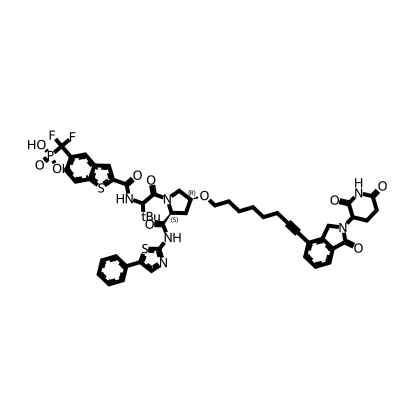 CC(C)(C)C(NC(=O)c1cc2cc(C(F)(F)P(=O)(O)O)ccc2s1)C(=O)N1C[C@H](OCCCCCCC#Cc2cccc3c2CN(C2CCC(=O)NC2=O)C3=O)C[C@H]1C(=O)Nc1ncc(-c2ccccc2)s1